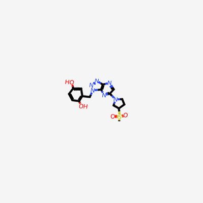 CS(=O)(=O)C1CCN(c2cnc3nnn(Cc4cc(O)ccc4O)c3n2)C1